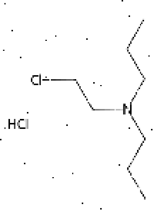 CCCN(CCC)CCCl.Cl